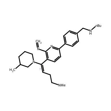 C=Nc1nc(-c2ccc(CNCCCC)cc2)ccc1/C(=C\CCNC)N1CCCC(C)C1